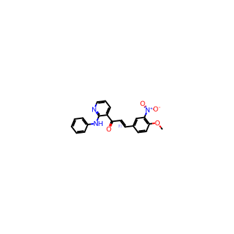 COc1ccc(/C=C/C(=O)c2cccnc2Nc2ccccc2)cc1[N+](=O)[O-]